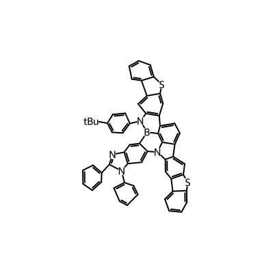 CC(C)(C)c1ccc(N2B3c4cc5nc(-c6ccccc6)n(-c6ccccc6)c5cc4-n4c5cc6c(cc5c5ccc(c3c54)-c3cc4sc5ccccc5c4cc32)sc2ccccc26)cc1